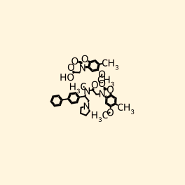 COc1cc2c(cc1C)oc(=O)n2CC(=O)N(C)C(CN1CCCC1)c1ccc(-c2ccccc2)cc1.COc1cc2c(cc1C)oc(=O)n2CC(=O)O